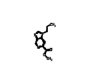 CCCn1cnc2cnc(C(=O)OC)cc21